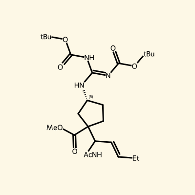 CCC=CC(NC(C)=O)C1(C(=O)OC)CC[C@@H](NC(=NC(=O)OC(C)(C)C)NC(=O)OC(C)(C)C)C1